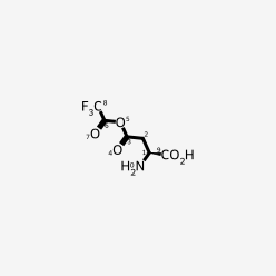 N[C@@H](CC(=O)OC(=O)C(F)(F)F)C(=O)O